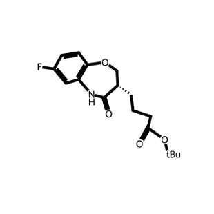 CC(C)(C)OC(=O)CCC[C@H]1COc2ccc(F)cc2NC1=O